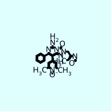 Cc1ocnc1Cn1[nH]c2c(-c3cc(C)[n+]([O-])c(C)c3)c(-c3ccccc3)nc(N)[n+]2c1=O